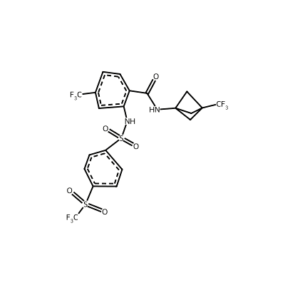 O=C(NC12CC(C(F)(F)F)(C1)C2)c1ccc(C(F)(F)F)cc1NS(=O)(=O)c1ccc(S(=O)(=O)C(F)(F)F)cc1